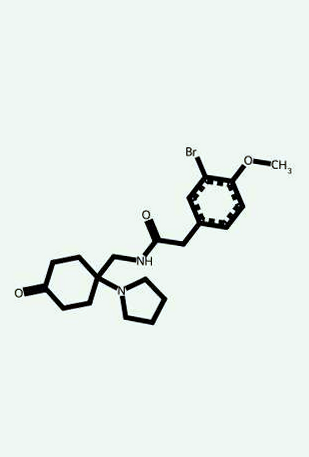 COc1ccc(CC(=O)NCC2(N3CCCC3)CCC(=O)CC2)cc1Br